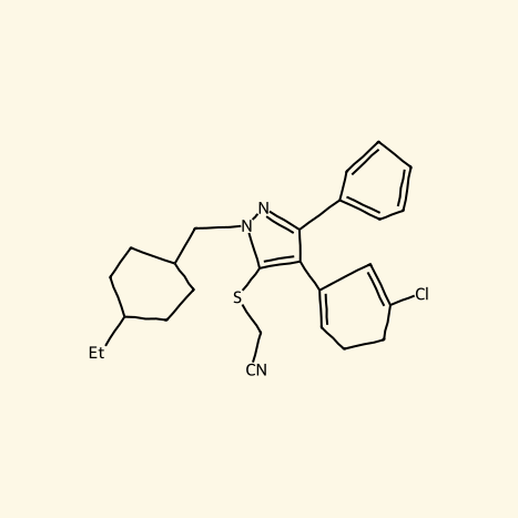 CCC1CCC(Cn2nc(-c3ccccc3)c(C3=CCCC(Cl)=C3)c2SCC#N)CC1